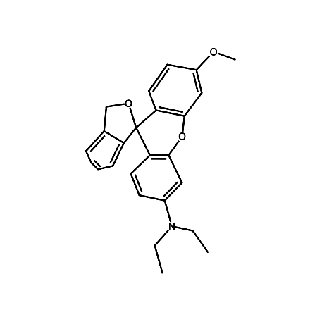 CCN(CC)c1ccc2c(c1)Oc1cc(OC)ccc1C21OCc2ccccc21